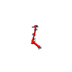 CN[C@@H](CCCCNC(=O)COCCOCCNC(=O)COCCOCCNC(=O)CC[C@H](NC(=O)CCCCCCCCCCCCCCCCC(=O)O)C(=O)O)C(=O)CO